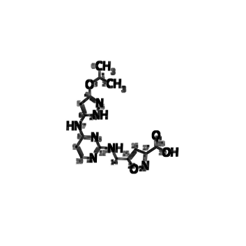 CC(C)Oc1cc(Nc2ccnc(NCc3cc(C(=O)O)no3)n2)[nH]n1